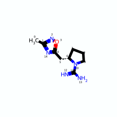 Cc1noc(C[C@@H]2CCCN2C(=N)N)n1